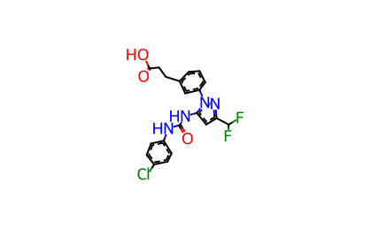 O=C(O)CCc1cccc(-n2nc(C(F)F)cc2NC(=O)Nc2ccc(Cl)cc2)c1